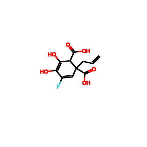 C=CCC1(C(=O)O)C=C(F)C(O)=C(O)C1C(=O)O